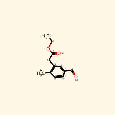 CCOC(=O)Cc1cc(C=O)ccc1C